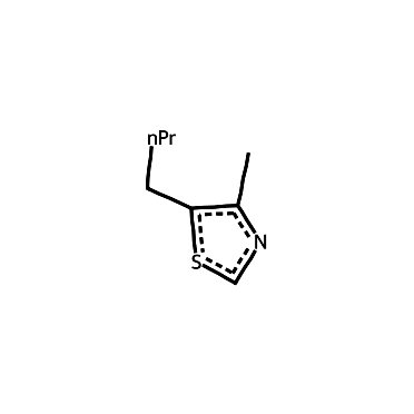 CCCCc1scnc1C